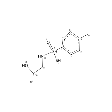 Cc1ccc([SH](=O)(S)NCC(C)O)cc1